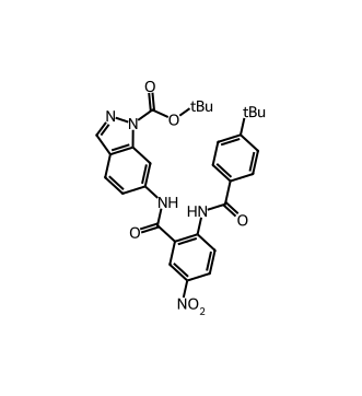 CC(C)(C)OC(=O)n1ncc2ccc(NC(=O)c3cc([N+](=O)[O-])ccc3NC(=O)c3ccc(C(C)(C)C)cc3)cc21